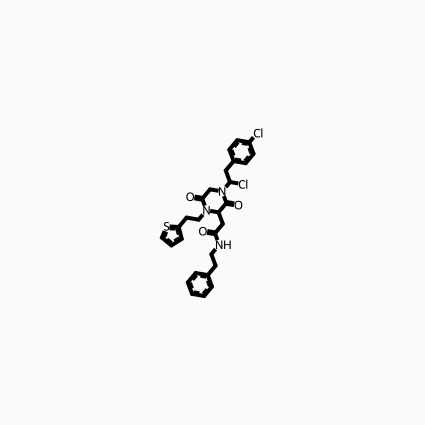 O=C(CC1C(=O)N(C(Cl)Cc2ccc(Cl)cc2)CC(=O)N1CCc1cccs1)NCCc1ccccc1